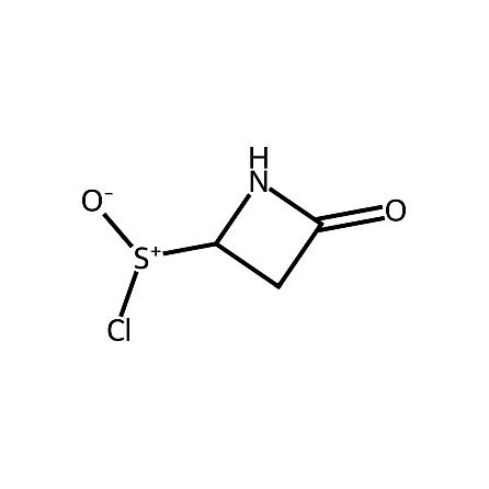 O=C1CC([S+]([O-])Cl)N1